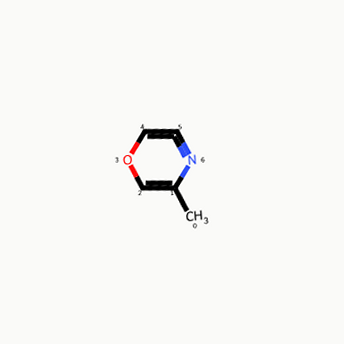 CC1=COC=C=N1